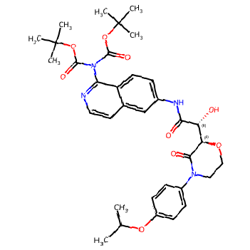 CC(C)Oc1ccc(N2CCO[C@H]([C@@H](O)C(=O)Nc3ccc4c(N(C(=O)OC(C)(C)C)C(=O)OC(C)(C)C)nccc4c3)C2=O)cc1